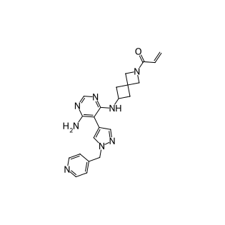 C=CC(=O)N1CC2(CC(Nc3ncnc(N)c3-c3cnn(Cc4ccncc4)c3)C2)C1